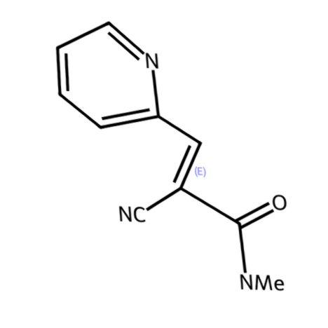 CNC(=O)/C(C#N)=C/c1ccccn1